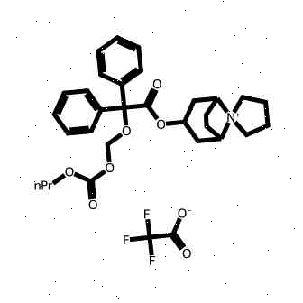 CCCOC(=O)OCOC(C(=O)OC1CC2CCC(C1)[N+]21CCCC1)(c1ccccc1)c1ccccc1.O=C([O-])C(F)(F)F